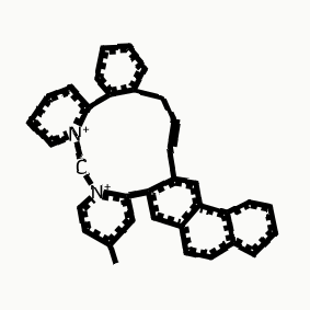 Cc1cc[n+]2c(c1)-c1cc3ccc4ccccc4c3cc1/C=C/Cc1ccccc1-c1cccc[n+]1C2